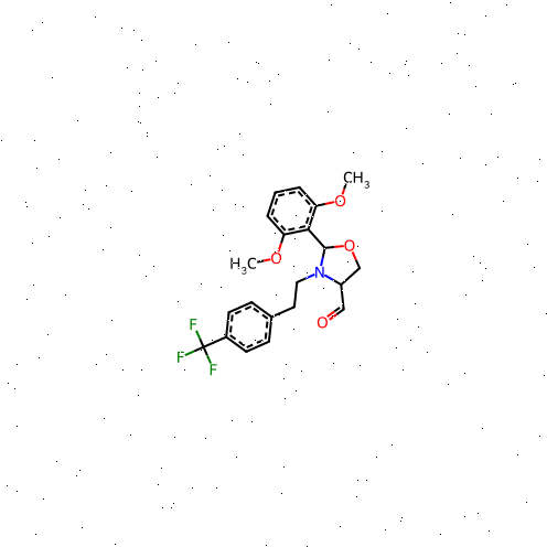 COc1cccc(OC)c1C1OCC(C=O)N1CCc1ccc(C(F)(F)F)cc1